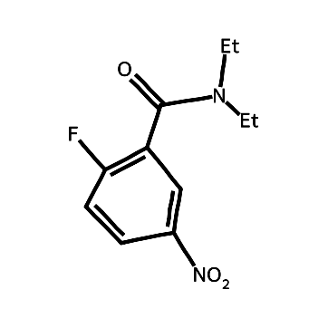 CCN(CC)C(=O)c1cc([N+](=O)[O-])ccc1F